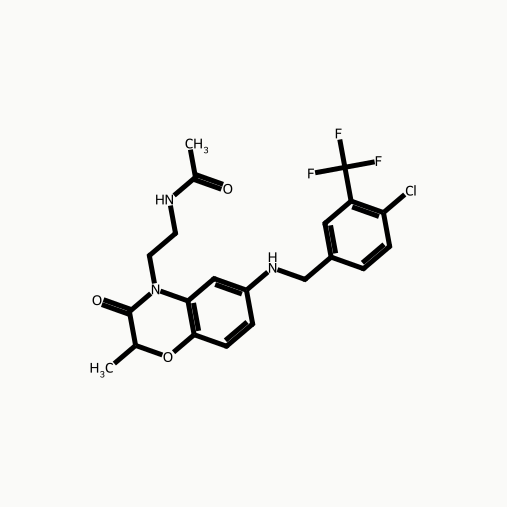 CC(=O)NCCN1C(=O)C(C)Oc2ccc(NCc3ccc(Cl)c(C(F)(F)F)c3)cc21